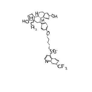 C[C@]12C[C@H](c3ccc(OCCCCC[S+]([O-])c4ccnc5cc(C(F)(F)F)ccc45)cc3)[C@@H]3c4ccc(O)cc4CC[C@H]3[C@@H]1CC[C@@H]2O